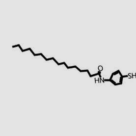 CCCCCCCCCCCCCCCC(=O)Nc1ccc(S)cc1